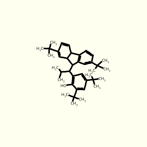 CC(C)C(c1cc(C(C)(C)C)cc(C(C)(C)C)c1O)C1c2cc(C(C)(C)C)ccc2C2C=CC(C(C)(C)C)=CC21